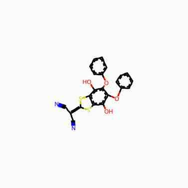 N#CC(C#N)=C1Sc2c(O)c(Oc3ccccc3)c(Oc3ccccc3)c(O)c2S1